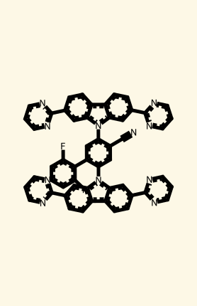 N#Cc1cc(-n2c3cc(-c4ncccn4)ccc3c3ccc(-c4ncccn4)cc32)c(-c2c(F)cccc2F)cc1-n1c2cc(-c3ncccn3)ccc2c2ccc(-c3ncccn3)cc21